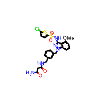 COc1cccc2c1c(NS(=O)(=O)c1ccc(Cl)s1)nn2Cc1cccc(CNC(=O)CC(N)=O)c1